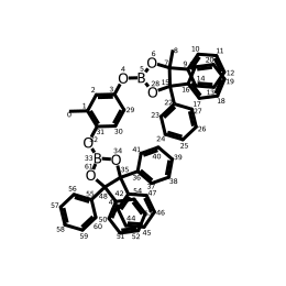 Cc1cc(OB2OC(C)(c3ccccc3)C(c3ccccc3)(c3ccccc3)O2)ccc1OB1OC(c2ccccc2)(c2ccccc2)C(c2ccccc2)(c2ccccc2)O1